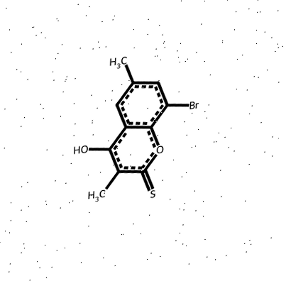 Cc1cc(Br)c2oc(=S)c(C)c(O)c2c1